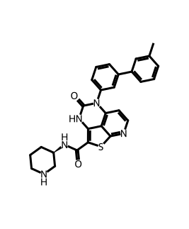 Cc1cccc(-c2cccc(N3C(=O)Nc4c(C(=O)N[C@@H]5CCCNC5)sc5nccc3c45)c2)c1